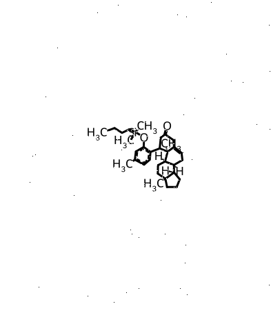 CCCC[Si](C)(C)Oc1cc(C)ccc1C1CC(=O)CC2=CC[C@H]3[C@@H]4CCC[C@@]4(C)CC[C@@H]3[C@]21C